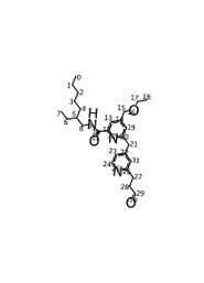 CCCCCC(CC)CNC(=O)c1cc(COCC)cc(Cc2ccnc(CCC=O)c2)n1